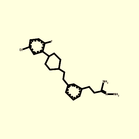 CCc1ccc(F)c(C2CCC(CCc3cccc(CC/C(N)=N/N)c3)CC2)c1